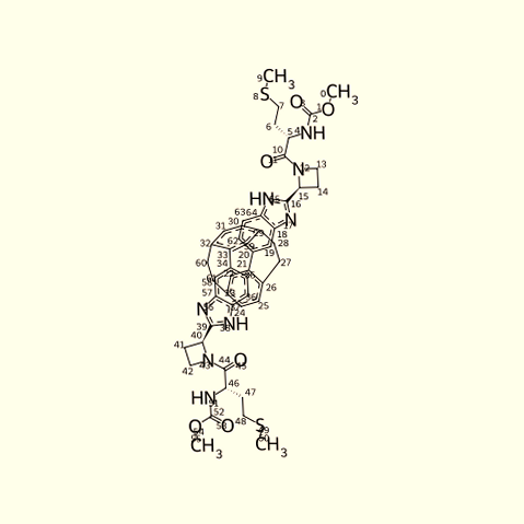 COC(=O)N[C@@H](CCSC)C(=O)N1CC[C@H]1c1nc2cc(-c3cc4ccc3CCc3ccc(c(-c5ccc6[nH]c([C@@H]7CCN7C(=O)[C@H](CCSC)NC(=O)OC)nc6c5)c3)CC4)ccc2[nH]1